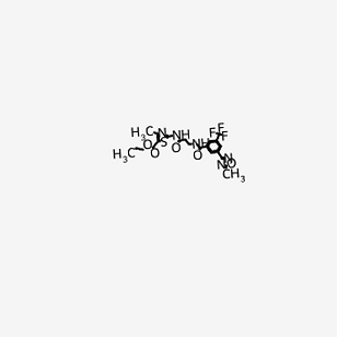 CCCOC(=O)c1sc(NC(=O)CCNC(=O)c2cc(-c3noc(C)n3)cc(C(F)(F)F)c2)nc1C